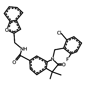 CC1(C)C(=O)N(Cc2c(F)cccc2Cl)c2cc(C(=O)NCc3cc4ccccc4o3)ccc21